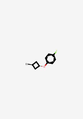 CC[C@H]1C[C@H](Oc2ccc(F)cc2)C1